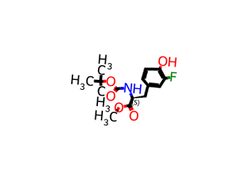 COC(=O)[C@H](Cc1ccc(O)c(F)c1)NC(=O)OC(C)(C)C